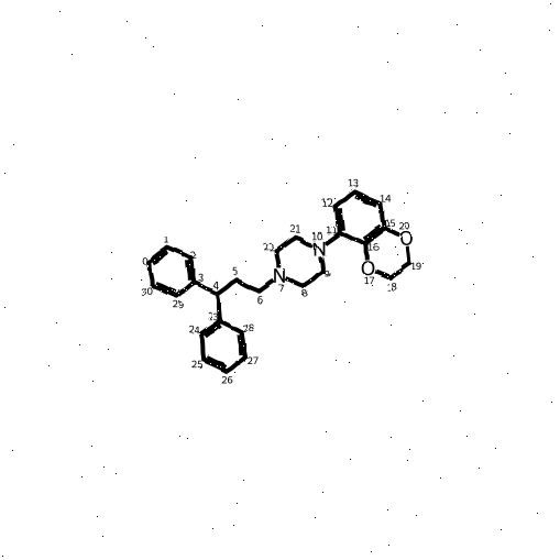 c1ccc(C(CCN2CCN(c3cccc4c3OCCO4)CC2)c2ccccc2)cc1